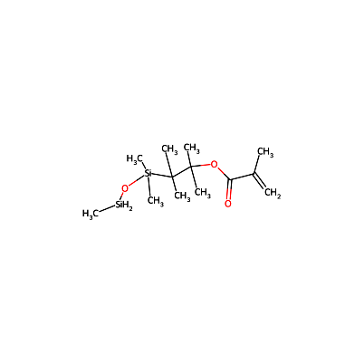 C=C(C)C(=O)OC(C)(C)C(C)(C)[Si](C)(C)O[SiH2]C